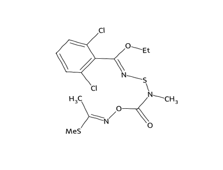 CCOC(=NSN(C)C(=O)ON=C(C)SC)c1c(Cl)cccc1Cl